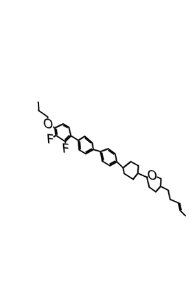 C/C=C/CCC1CCC(C2CCC(c3ccc(-c4ccc(-c5ccc(OCCC)c(F)c5F)cc4)cc3)CC2)OC1